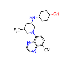 N#Cc1ccc(N2C[C@H](N[C@H]3CC[C@@H](O)CC3)C[C@H](C(F)(F)F)C2)c2nccnc12